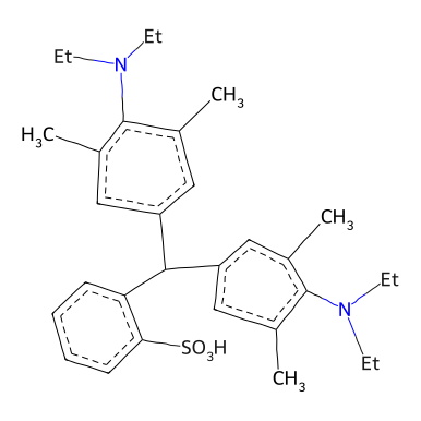 CCN(CC)c1c(C)cc(C(c2cc(C)c(N(CC)CC)c(C)c2)c2ccccc2S(=O)(=O)O)cc1C